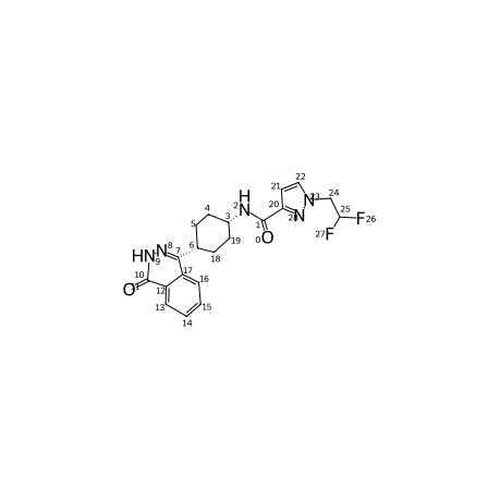 O=C(N[C@H]1CC[C@@H](c2n[nH]c(=O)c3ccccc32)CC1)c1ccn(CC(F)F)n1